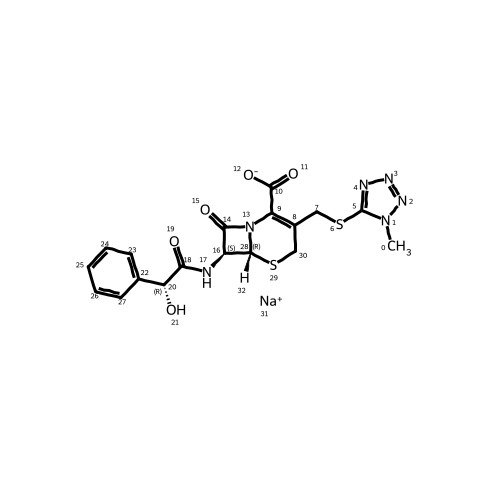 Cn1nnnc1SCC1=C(C(=O)[O-])N2C(=O)[C@H](NC(=O)[C@H](O)c3ccccc3)[C@H]2SC1.[Na+]